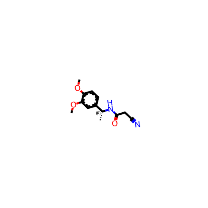 COc1ccc([C@@H](C)NC(=O)CC#N)cc1OC